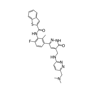 Cc1c(-c2cc(CNc3ccc(CN(C)C)nn3)c(=O)[nH]n2)ccc(F)c1NC(=O)c1cc2ccccc2s1